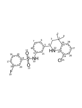 CC1(C)CC(c2cccc(NS(=O)(=O)c3cccc(F)c3)c2)Nc2c(Cl)cccc21